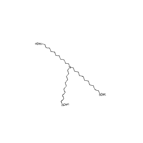 CCCCCCCCCCCCCCCCCCCCCN(CCCCCCCCCCCCCCCCCCCCC)CCCCCCCCCCCCCCCCCCCCC